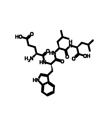 CC(C)C[C@H](NC(=O)[C@H](CC(C)C)NC(=O)[C@H](Cc1c[nH]c2ccccc12)NC(=O)[C@@H](N)CCC(=O)O)C(=O)O